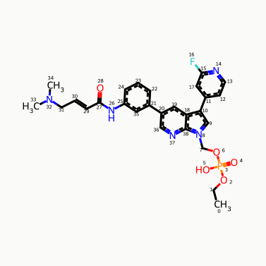 CCOP(=O)(O)OCn1cc(-c2ccnc(F)c2)c2cc(-c3cccc(NC(=O)/C=C/CN(C)C)c3)cnc21